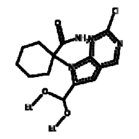 CCOC(OCC)c1cc2cnc(Cl)nc2n1C1(C(N)=O)CCCCC1